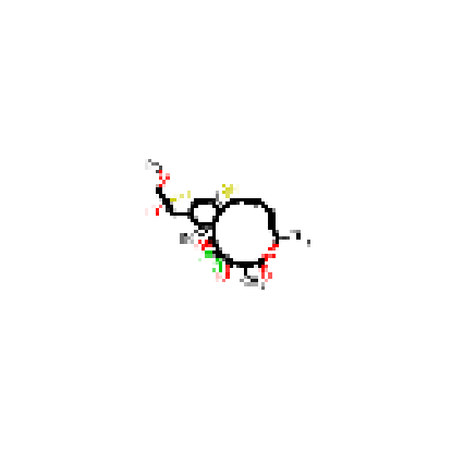 CCOC[C@@](O)(S)C[C@H]1C=C[C@@H]2[C@@H](C(=O)C(Cl)(Cl)C(O)[C@H](C)C(=O)O[C@@H](C)/C=C/C=C\[C@H]2S)[C@@H]1CC